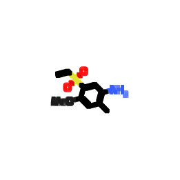 C=CS(=O)(=O)c1cc(N)c(C)cc1OC